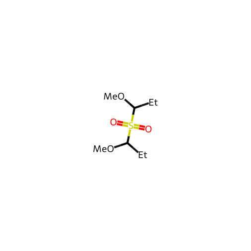 CCC(OC)S(=O)(=O)C(CC)OC